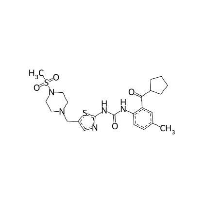 Cc1ccc(NC(=O)Nc2ncc(CN3CCN(S(C)(=O)=O)CC3)s2)c(C(=O)C2CCCC2)c1